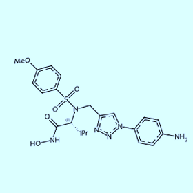 COc1ccc(S(=O)(=O)N(Cc2cn(-c3ccc(N)cc3)nn2)[C@@H](C(=O)NO)C(C)C)cc1